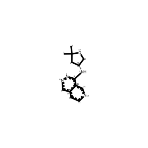 CC1(C)C[C@@H](Nc2nncc3ccncc23)CO1